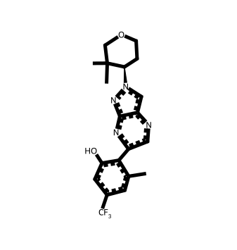 Cc1cc(C(F)(F)F)cc(O)c1-c1cnc2cn([C@@H]3CCOCC3(C)C)nc2n1